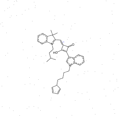 CC(C)CC[N+]1=C(/C=C2/C(=O)C(c3cn(CCCCC4C=CC=C4)c4ccccc34)=C2O)C(C)(C)c2ccccc21